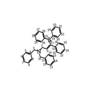 C(/CN(Cc1ccccc1)Cc1ccccc1)=C(/B(c1ccccc1)c1ccccc1)c1ccccc1